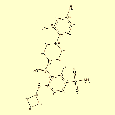 Cc1c(S(N)(=O)=O)ccc(OC2CCC2)c1C(=O)N1CCN(c2ccc(C#N)cc2F)CC1